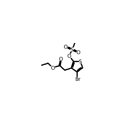 CCOC(=O)Cc1c(Br)csc1OS(C)(=O)=O